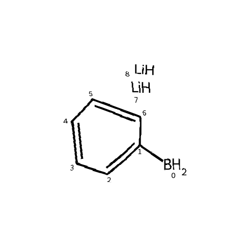 Bc1ccccc1.[LiH].[LiH]